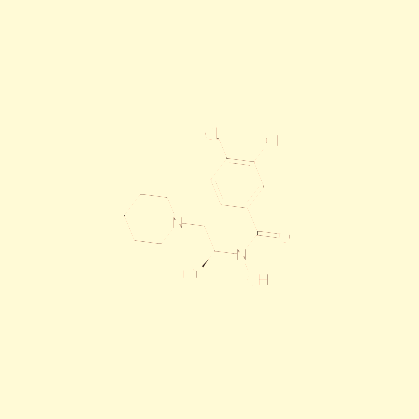 Cc1cc(C(=O)N(C)[C@H](CN2CCCCC2)C(C)C)ccc1Cl